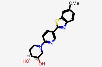 COc1ccc2nc(-c3ccc(N4CC[C@@H](O)[C@H](O)C4)nc3)sc2c1